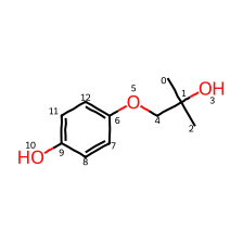 CC(C)(O)COc1ccc(O)cc1